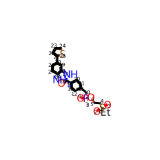 CCS(=O)(=O)CCOP(C)(=O)Cc1ccc(C(=O)Nc2cc(-c3cccs3)ccc2N)cc1